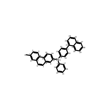 Cc1ccc2c(ccc3cc(N(c4ccccc4)c4ccc(-c5cccc6ccccc56)cc4)ccc32)c1